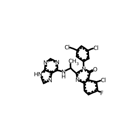 CC(Nc1ncnc2[nH]cnc12)c1nc2ccc(F)c(Cl)c2c(=O)n1-c1cc(Cl)cc(Cl)c1